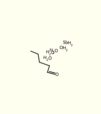 CCCCC=O.O.O.O.O.[SbH3]